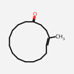 C/C1=C\CCCCCCCCCCCC(=O)CC1